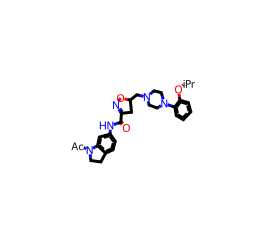 CC(=O)N1CCc2ccc(NC(=O)C3=NOC(CN4CCN(c5ccccc5OC(C)C)CC4)C3)cc21